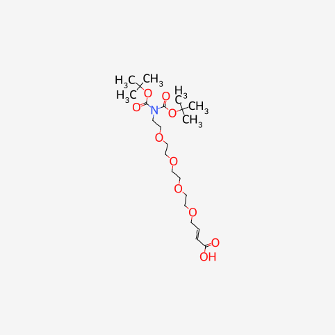 CC(C)(C)OC(=O)N(CCOCCOCCOCCOCC=CC(=O)O)C(=O)OC(C)(C)C